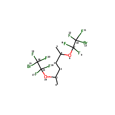 CC(CCC(C)OC(F)(F)C(F)(F)Br)OC(F)(F)C(F)(F)Br